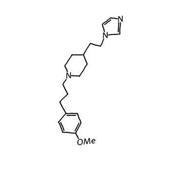 COc1ccc(CCCN2CCC(CCn3ccnc3)CC2)cc1